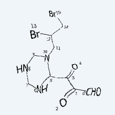 O=CC(=O)C(=O)C1NCNCN1CC(Br)CBr